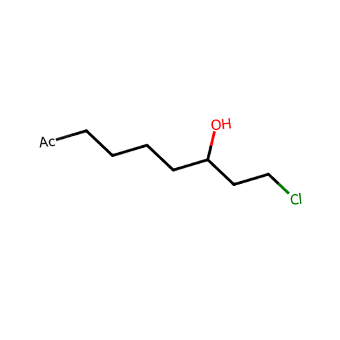 CC(=O)CCCCC(O)CCCl